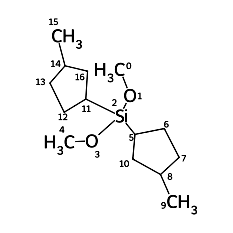 CO[Si](OC)(C1CCC(C)C1)C1CCC(C)C1